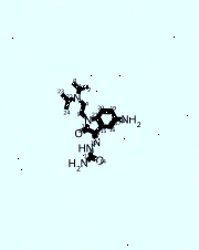 CC(C)N(CCN1C(=O)C(=NNC(N)=O)c2cc(N)ccc21)C(C)C